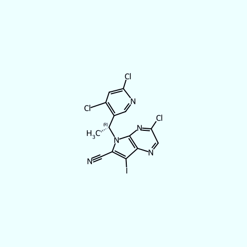 C[C@H](c1cnc(Cl)cc1Cl)n1c(C#N)c(I)c2ncc(Cl)nc21